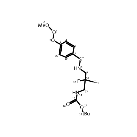 COOOc1ccc(SNCC(F)(F)CNC(=O)OC(C)(C)C)cc1